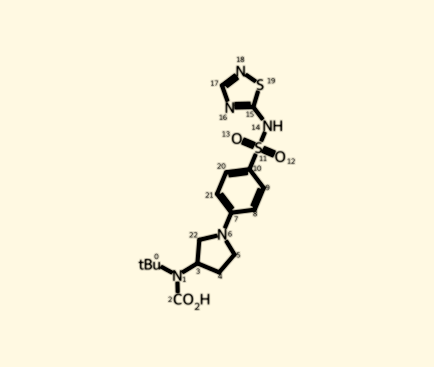 CC(C)(C)N(C(=O)O)C1CCN(c2ccc(S(=O)(=O)Nc3ncns3)cc2)C1